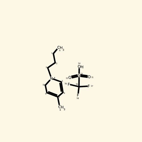 CCCCN1C=CC(C)=CC1.O=S(=O)(O)C(F)(F)F